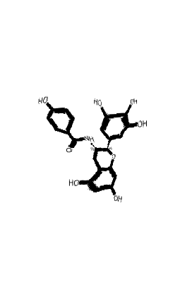 O=C(N[C@H]1Cc2c(O)cc(O)cc2O[C@@H]1c1cc(O)c(O)c(O)c1)c1ccc(O)cc1